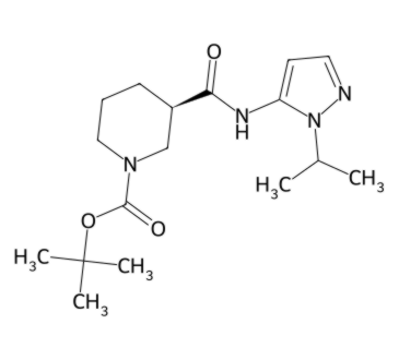 CC(C)n1nccc1NC(=O)[C@@H]1CCCN(C(=O)OC(C)(C)C)C1